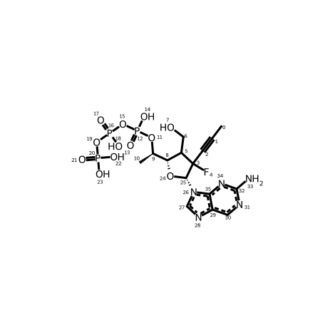 CC#CC1(F)C(CO)[C@@H]([C@@H](C)OP(=O)(O)OP(=O)(O)OP(=O)(O)O)O[C@H]1n1cnc2cnc(N)nc21